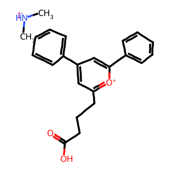 CNC.O=C(O)CCCc1cc(-c2ccccc2)cc(-c2ccccc2)[o+]1.[I-]